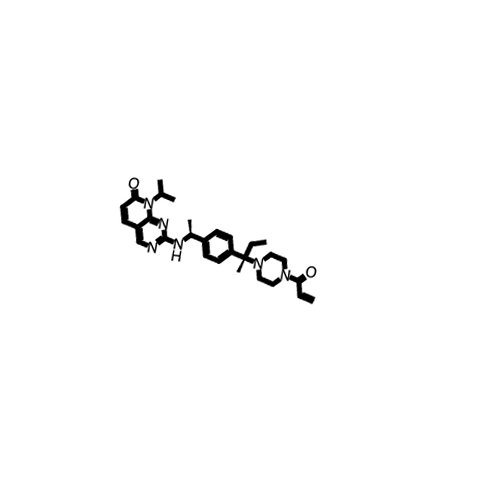 C=CC(=O)N1CCN([C@@](C)(CC)c2ccc([C@H](C)Nc3ncc4ccc(=O)n(C(C)C)c4n3)cc2)CC1